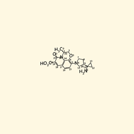 C[C@H]1COc2c(N3CC[C@@H](C4(N)CC4)C3)ccc3cc(C(=O)O)c(=O)n1c23